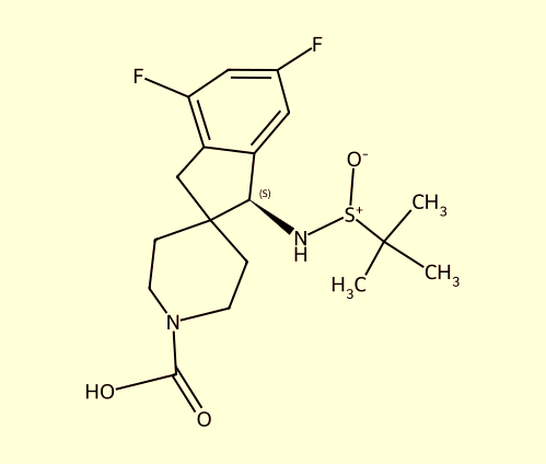 CC(C)(C)[S+]([O-])N[C@@H]1c2cc(F)cc(F)c2CC12CCN(C(=O)O)CC2